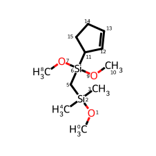 CO[Si](C)(C)C[Si](OC)(OC)C1C=CCC1